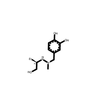 CC[C@H](CO)N[N+](C)Cc1ccc(O)c(O)c1